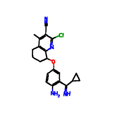 Cc1c(C#N)c(Cl)nc2c1CCCC2Oc1ccc(N)c(C(=N)C2CC2)c1